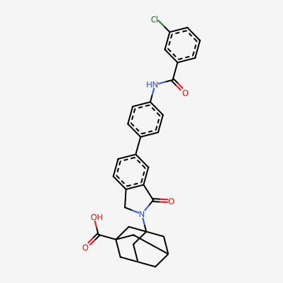 O=C(Nc1ccc(-c2ccc3c(c2)C(=O)N(C24CC5CC(CC(C(=O)O)(C5)C2)C4)C3)cc1)c1cccc(Cl)c1